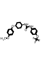 COc1ccc(O[C@H]2CC[C@H](NC(=O)Nc3ccc(OC(F)(F)F)cc3)CC2)cc1